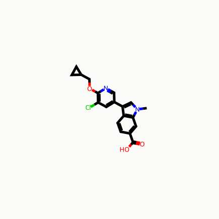 Cn1cc(-c2cnc(OCC3CC3)c(Cl)c2)c2ccc(C(=O)O)cc21